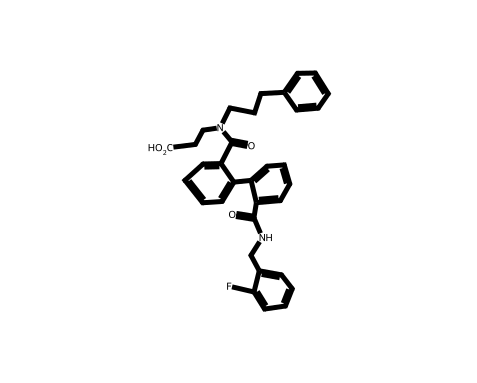 O=C(O)CCN(CCCc1ccccc1)C(=O)c1ccccc1-c1ccccc1C(=O)NCc1ccccc1F